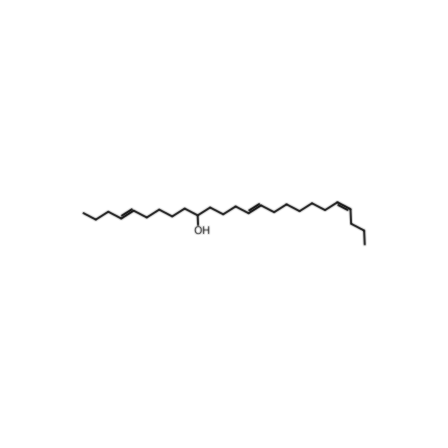 CCCC=CCCCCC(O)CCCC=CCCCCC/C=C\CCC